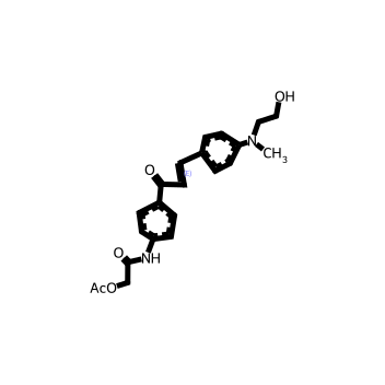 CC(=O)OCC(=O)Nc1ccc(C(=O)/C=C/c2ccc(N(C)CCO)cc2)cc1